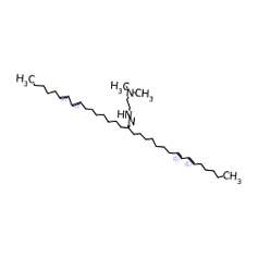 CCCCC/C=C/C=C/CCCCCCCC(CCCCCCC/C=C/C=C/CCCCC)=NNCCN(C)C